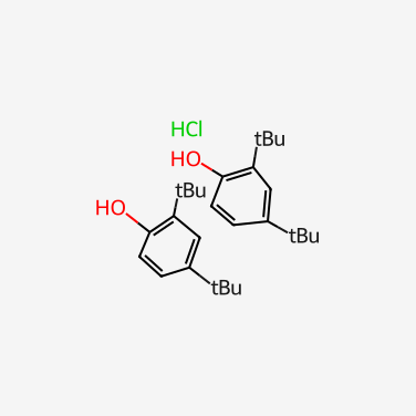 CC(C)(C)c1ccc(O)c(C(C)(C)C)c1.CC(C)(C)c1ccc(O)c(C(C)(C)C)c1.Cl